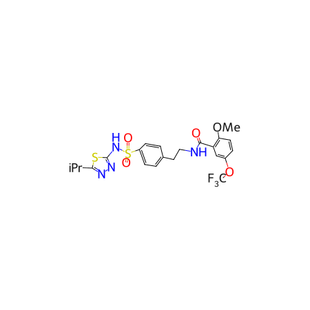 COc1ccc(OC(F)(F)F)cc1C(=O)NCCc1ccc(S(=O)(=O)Nc2nnc(C(C)C)s2)cc1